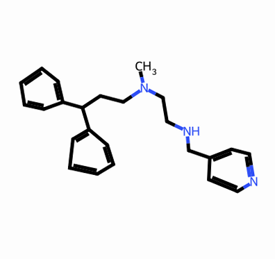 CN(CCNCc1ccncc1)CCC(c1ccccc1)c1ccccc1